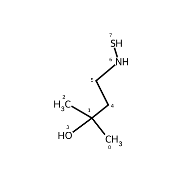 CC(C)(O)CCNS